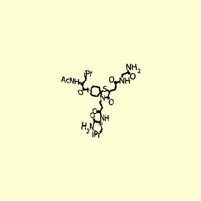 CC(=O)N[C@@H](CC(C)C)C(=O)N1CCC2(CC1)SC(CC(=O)NCC(N)=O)C(=O)N2CCC(=O)N[C@@H](CC(C)C)C(N)=O